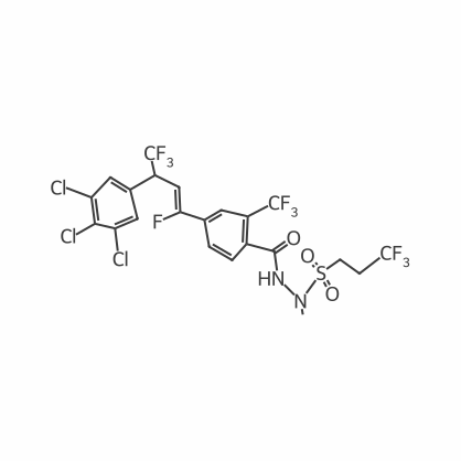 CN(NC(=O)c1ccc(C(F)=CC(c2cc(Cl)c(Cl)c(Cl)c2)C(F)(F)F)cc1C(F)(F)F)S(=O)(=O)CCC(F)(F)F